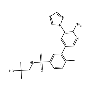 Cc1ccc(S(=O)(=O)NCC(C)(C)O)cc1-c1cnc(N)c(-n2cncn2)c1